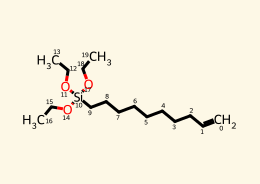 C=CCCCCCCCC[Si](OCC)(OCC)OCC